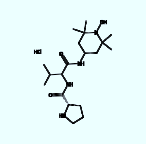 CC(C)C(NC(=O)[C@@H]1CCCN1)C(=O)NC1CC(C)(C)N(O)C(C)(C)C1.Cl